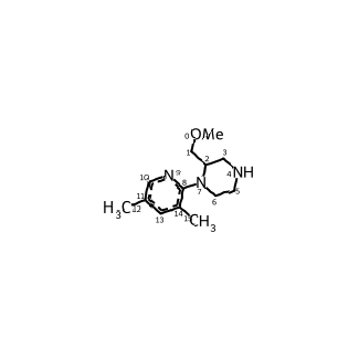 COCC1CNCCN1c1ncc(C)cc1C